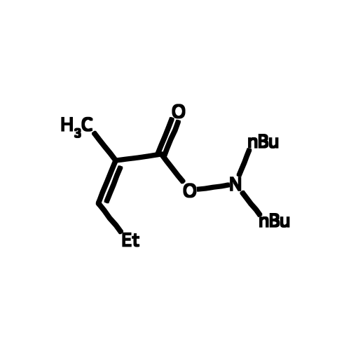 CCC=C(C)C(=O)ON(CCCC)CCCC